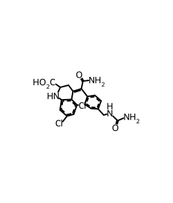 NC(=O)NCc1ccc(/C(C(N)=O)=C2/CC(C(=O)O)Nc3cc(Cl)cc(Cl)c32)cc1